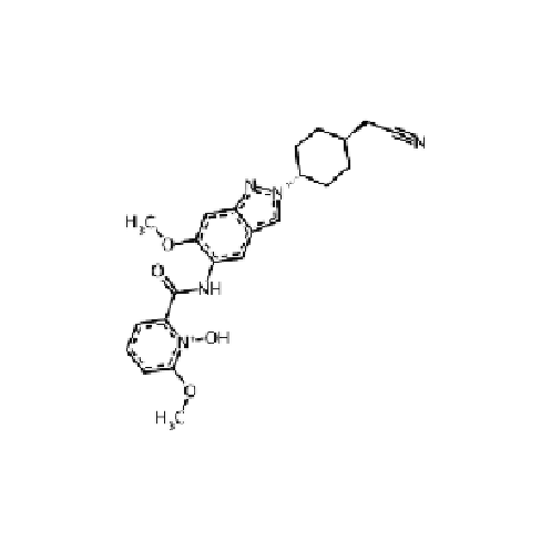 COc1cc2nn([C@H]3CC[C@H](CC#N)CC3)cc2cc1NC(=O)c1cccc(OC)[n+]1O